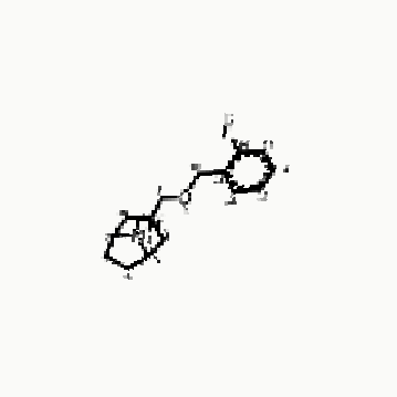 CN1C2CCC1CC(COCc1ccccc1F)C2